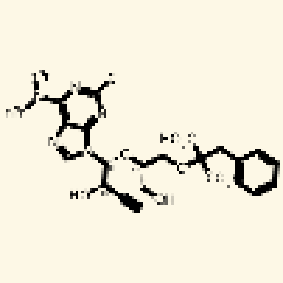 C#C[C@@H](O)[C@@H](O[C@@H](CO)COC(Cc1ccccc1)(C(=O)O)C(=O)O)n1cnc2c(N(CCC)CCC)nc(Cl)nc21